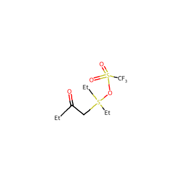 CCC(=O)CS(CC)(CC)OS(=O)(=O)C(F)(F)F